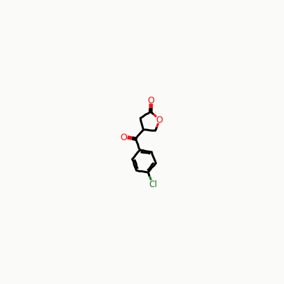 O=C1CC(C(=O)c2ccc(Cl)cc2)CO1